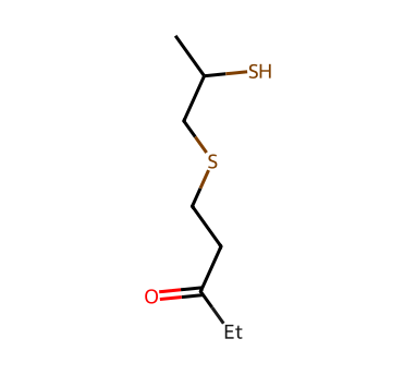 CCC(=O)CCSCC(C)S